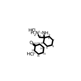 Cl.Cl.NCC1(N)CCCCC1.O=C1CCCCC1